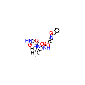 CC(C)C[C@H](NC(=O)OC1CC2(C1)CN(C(=O)Cc1ccccc1)C2)C(=O)N[C@H](C=O)C[C@H]1CCNC1=O